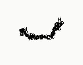 O=C1CC[C@H](N2C(=O)c3ccc(N4CCC(C(=O)N5CCC(CCN6CCN(c7ccc(Nc8ncnc9c8ncn9C8CC(NC(=O)c9c(Cl)cccc9Cl)C8)cc7)CC6)CC5)CC4)cc3C2=O)C(=O)N1